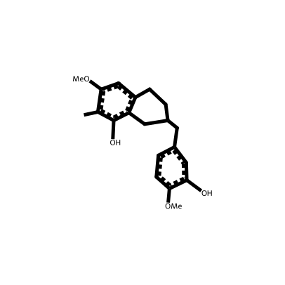 COc1ccc(CC2CCc3cc(OC)c(C)c(O)c3C2)cc1O